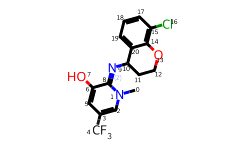 Cn1cc(C(F)(F)F)cc(O)/c1=N/C1CCOc2c(Cl)cccc21